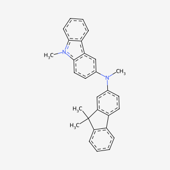 CN(c1ccc2c(c1)C(C)(C)c1ccccc1-2)c1ccc2c(c1)c1ccccc1n2C